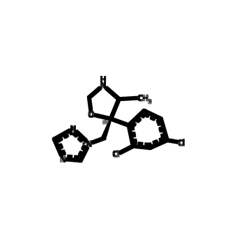 CC1NCO[C@@]1(Cn1cncn1)c1ccc(Cl)cc1Cl